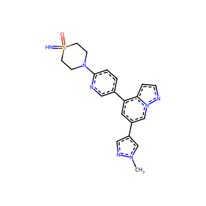 Cn1cc(-c2cc(-c3ccc(N4CCS(=N)(=O)CC4)nc3)c3ccnn3c2)cn1